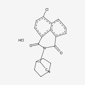 Cl.O=C1c2cccc3c(Cl)ccc(c23)C(=O)N1C1CN2CCC1CC2